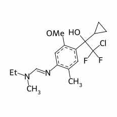 CCN(C)/C=N/c1cc(OC)c(C(O)(C2CC2)C(F)(F)Cl)cc1C